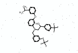 CC(C)c1cccc(Oc2cccc(N(Cc3cccc(SC(F)(F)F)c3)CC(O)c3ccc(C(F)(F)F)cc3)c2)c1